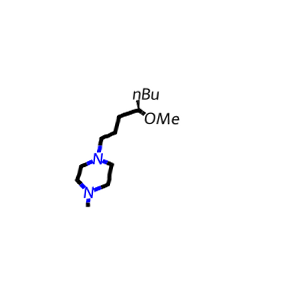 CCCC[C@H](CCCN1CCN(C)CC1)OC